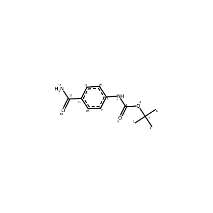 CC(C)(C)OC(=O)Nc1ccc(C(N)=O)cc1